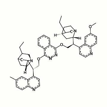 CCC1C[N@@]2CCC1C[C@H]2[C@H](COc1nnc(OC[C@H](c2ccnc3ccc(OC)cc23)[C@@H]2C[C@H]3CCN2CC3CC)c2ccccc12)c1ccnc2ccc(C)cc12